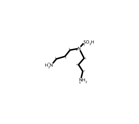 NCCCN(CCCN)S(=O)(=O)O